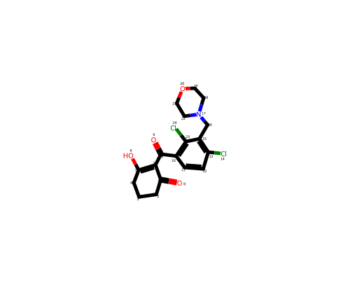 O=C1CCCC(O)=C1C(=O)c1ccc(Cl)c(CN2CCOCC2)c1Cl